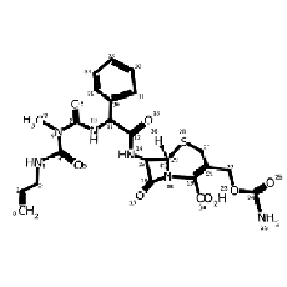 C=CCNC(=O)N(C)C(=O)NC(C(=O)NC1C(=O)N2C(C(=O)O)=C(COC(N)=O)CS[C@@H]12)c1ccccc1